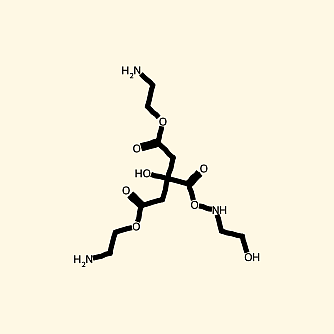 NCCOC(=O)CC(O)(CC(=O)OCCN)C(=O)ONCCO